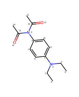 CCN(CC)c1ccc(N(C(C)=O)C(C)=O)cc1